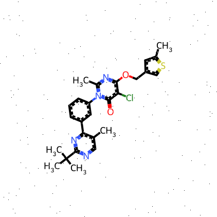 Cc1cc(COc2nc(C)n(-c3cccc(-c4nc(C(C)(C)C)ncc4C)c3)c(=O)c2Cl)cs1